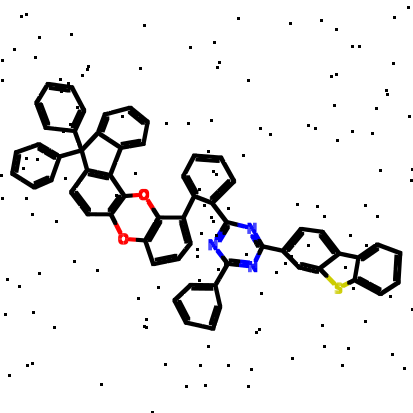 c1ccc(-c2nc(-c3ccc4c(c3)sc3ccccc34)nc(-c3ccccc3-c3cccc4c3Oc3c(ccc5c3-c3ccccc3C5(c3ccccc3)c3ccccc3)O4)n2)cc1